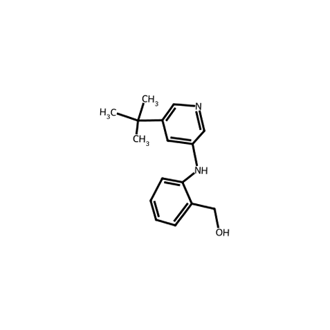 CC(C)(C)c1cncc(Nc2ccccc2CO)c1